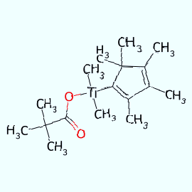 CC1=C(C)C(C)(C)[C]([Ti]([CH3])([CH3])[O]C(=O)C(C)(C)C)=C1C